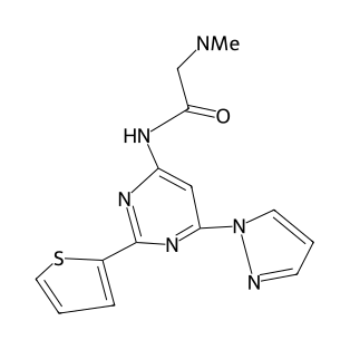 CNCC(=O)Nc1cc(-n2cccn2)nc(-c2cccs2)n1